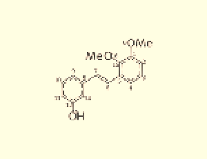 COc1cccc(C=Cc2cccc(O)c2)c1OC